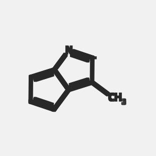 CC1=C2C=CC=C2N=[C]1